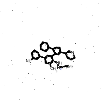 Cc1cc(-c2cccc(C#N)c2)cc(-c2cc(-c3cccnc3)ccc2-c2ccccc2)c1N/N=C\C=N